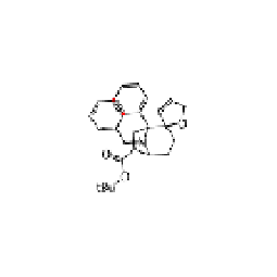 CC(C)(C)OC(=O)C1CC2(c3ccccc3)N(Cc3ccccc3)C1CCC21C=CCO1